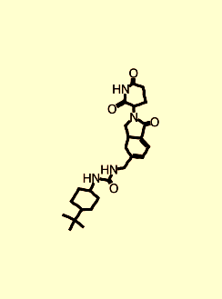 CC(C)(C)C1CCC(NC(=O)NCC2=CC=C3C(=O)N(C4CCC(=O)NC4=O)CC3C2)CC1